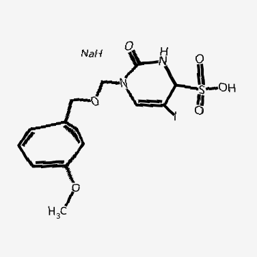 COc1cccc(COCN2C=C(I)C(S(=O)(=O)O)NC2=O)c1.[NaH]